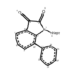 CCCCCCCN1C(=O)C(=O)c2cccc(-c3ccccc3)c21